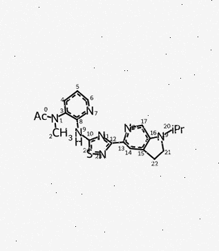 CC(=O)N(C)c1cccnc1Nc1nc(-c2cc3c(cn2)N(C(C)C)CC3)ns1